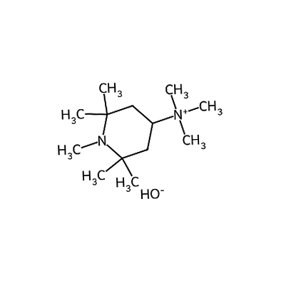 CN1C(C)(C)CC([N+](C)(C)C)CC1(C)C.[OH-]